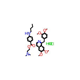 CCCCNc1ccc(C(=O)OCCN(C)C)cc1.COc1ccc(Cc2nccc3cc(OC)c(OC)cc23)cc1OC.Cl.Cl